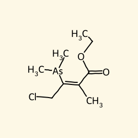 CCOC(=O)C(C)=C(CCl)[As](C)C